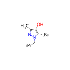 Cc1nn(CC(C)C)c(C(C)(C)C)c1O